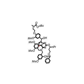 CCCC(CCOCc1ccccc1)Oc1nc(N(Cc2ccc(OC)cc2OC)Cc2ccc(OC)cc2OC)c2ncc(C(O)c3ccc(OCCN(C)C(=O)OC(C)(C)C)c(OC)c3)n2n1